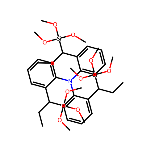 CCC(c1ccccc1N(c1ccccc1C(CC)[Si](OC)(OC)OC)c1ccccc1C(CC)[Si](OC)(OC)OC)[Si](OC)(OC)OC